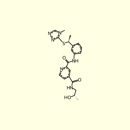 C[C@H](O)CNC(=O)c1ccnc(C(=O)Nc2cccc([C@H](C)Sc3nncn3C)c2)c1